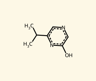 CC(C)c1cncc(O)n1